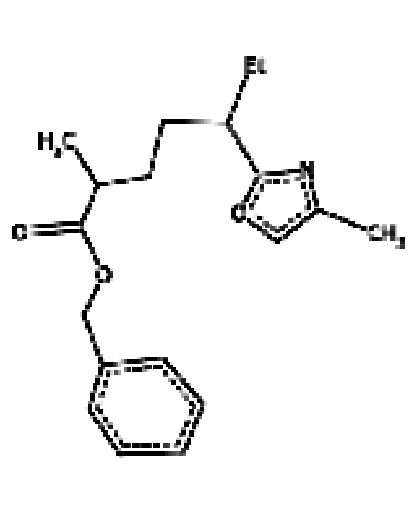 CCC(CCC(C)C(=O)OCc1ccccc1)c1nc(C)co1